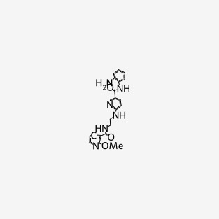 COc1ncccc1C(=O)NCCNc1ccc(C(=O)Nc2ccccc2N)cn1